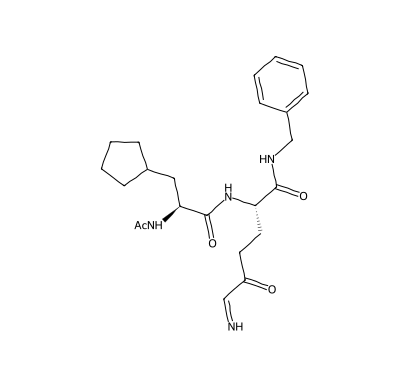 CC(=O)N[C@@H](CC1CCCC1)C(=O)N[C@@H](CCC(=O)C=N)C(=O)NCc1ccccc1